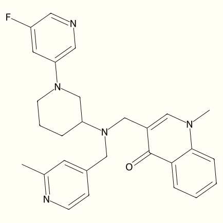 Cc1cc(CN(Cc2cn(C)c3ccccc3c2=O)C2CCCN(c3cncc(F)c3)C2)ccn1